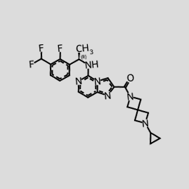 C[C@@H](Nc1nccc2nc(C(=O)N3CC4(C3)CN(C3CC3)C4)cn12)c1cccc(C(F)F)c1F